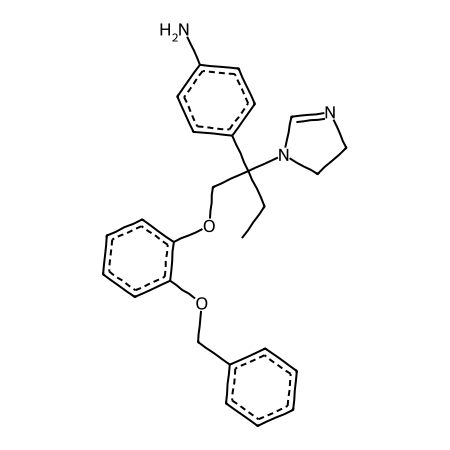 CCC(COc1ccccc1OCc1ccccc1)(c1ccc(N)cc1)N1C=NCC1